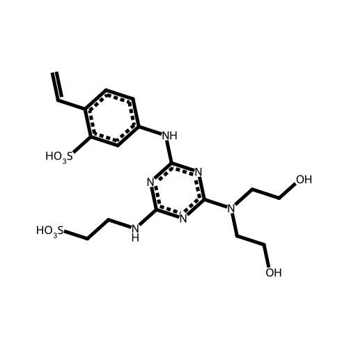 C=Cc1ccc(Nc2nc(NCCS(=O)(=O)O)nc(N(CCO)CCO)n2)cc1S(=O)(=O)O